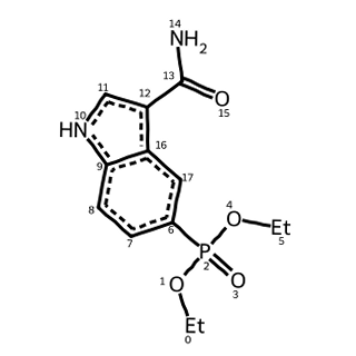 CCOP(=O)(OCC)c1ccc2[nH]cc(C(N)=O)c2c1